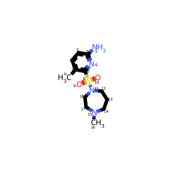 Cc1ccc(N)nc1S(=O)(=O)N1CCCN(C)CC1